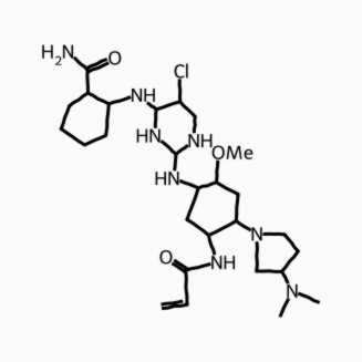 C=CC(=O)NC1CC(NC2NCC(Cl)C(NC3CCCCC3C(N)=O)N2)C(OC)CC1N1CCC(N(C)C)C1